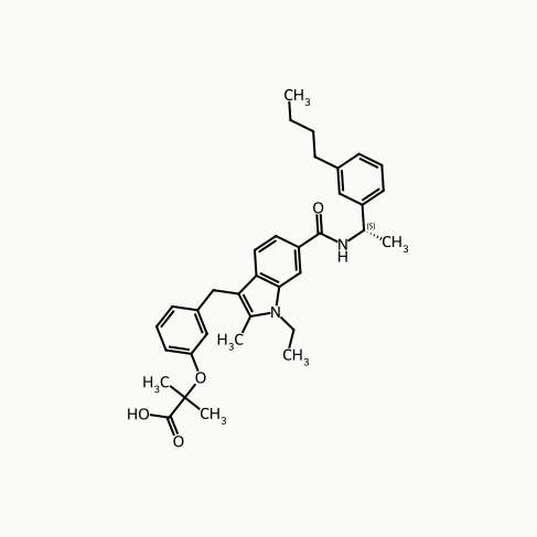 CCCCc1cccc([C@H](C)NC(=O)c2ccc3c(Cc4cccc(OC(C)(C)C(=O)O)c4)c(C)n(CC)c3c2)c1